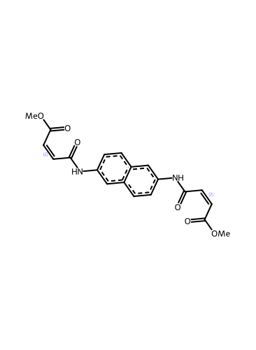 COC(=O)/C=C\C(=O)Nc1ccc2cc(NC(=O)/C=C\C(=O)OC)ccc2c1